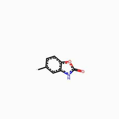 [CH2]c1ccc2oc(=O)[nH]c2c1